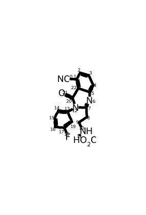 N#Cc1cccc2nc(CCNC(=O)O)n(-c3cccc(F)c3)c(=O)c12